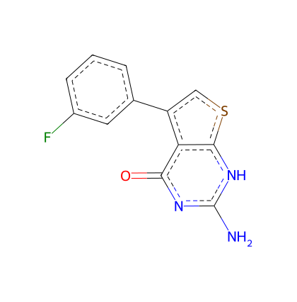 Nc1nc(=O)c2c(-c3cccc(F)c3)csc2[nH]1